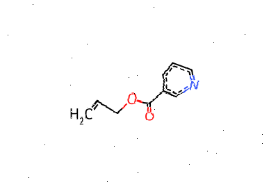 C=CCOC(=O)c1cccnc1